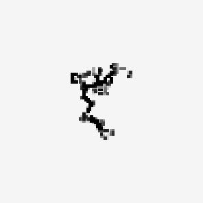 CCC(CCN=C=O)C(CC)(CC)O[SiH3]